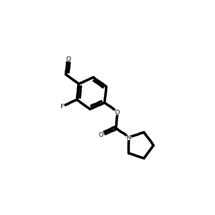 O=Cc1ccc(OC(=O)N2CCCC2)cc1F